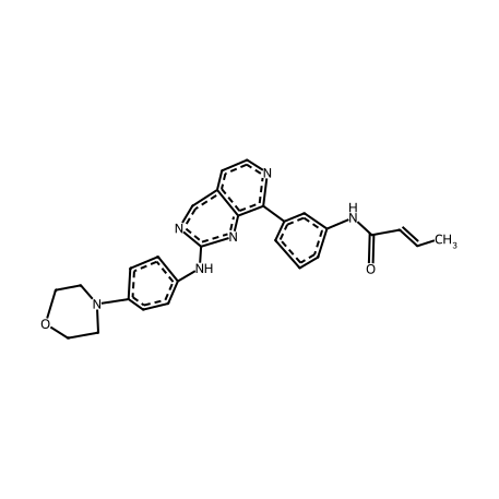 CC=CC(=O)Nc1cccc(-c2nccc3cnc(Nc4ccc(N5CCOCC5)cc4)nc23)c1